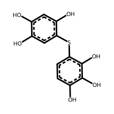 Oc1cc(O)c(Sc2ccc(O)c(O)c2O)cc1O